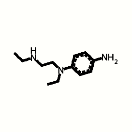 CCNCCN(CC)c1ccc(N)cc1